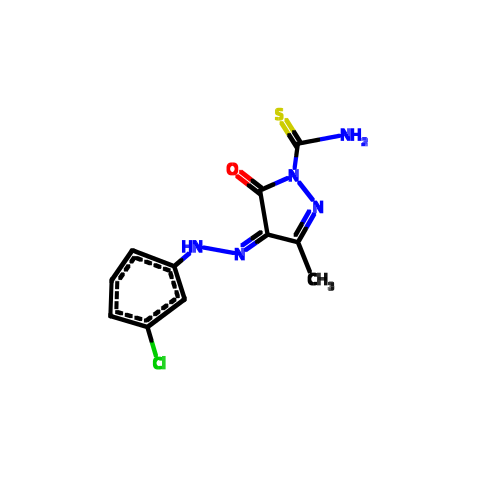 CC1=NN(C(N)=S)C(=O)C1=NNc1cccc(Cl)c1